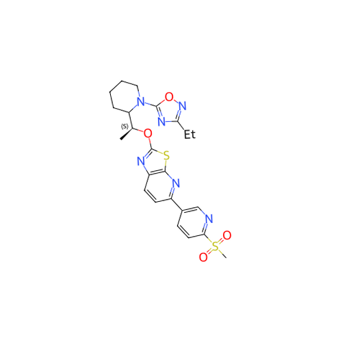 CCc1noc(N2CCCCC2[C@H](C)Oc2nc3ccc(-c4ccc(S(C)(=O)=O)nc4)nc3s2)n1